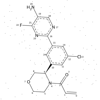 C=CC(=O)N1CCOC[C@H]1c1cc(Cl)cc(-c2ncc(N)c(F)n2)c1